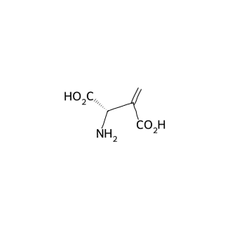 C=C(C(=O)O)[C@H](N)C(=O)O